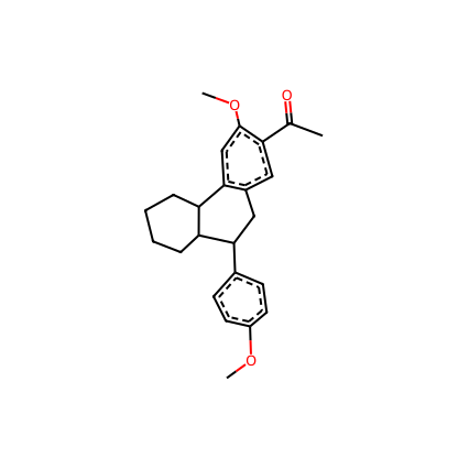 COc1ccc(C2Cc3cc(C(C)=O)c(OC)cc3C3CCCCC23)cc1